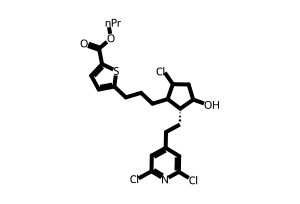 CCCOC(=O)c1ccc(CCCC2C(Cl)CC(O)[C@@H]2CCc2cc(Cl)nc(Cl)c2)s1